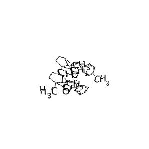 CC12CCC(/C(=C/c3ccccc3)C1=O)C2(C)C.Cc1ccc(/C=C2\C(=O)C3(C)CCC2C3(C)C)cc1